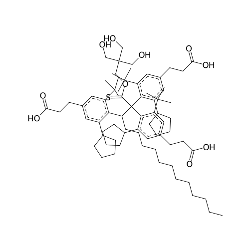 CCCCCCCCCCCCC(c1c(C2CCCC2)cc(CCC(=O)O)cc1C(C)(C)C)C(C(=S)OCC(CO)(CO)CO)(c1c(C2CCCC2)cc(CCC(=O)O)cc1C(C)(C)C)c1c(C2CCCC2)cc(CCC(=O)O)cc1C(C)(C)C